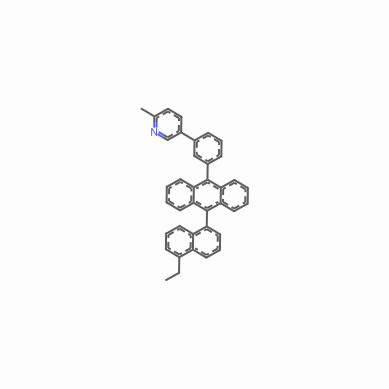 CCc1cccc2c(-c3c4ccccc4c(-c4cccc(-c5ccc(C)nc5)c4)c4ccccc34)cccc12